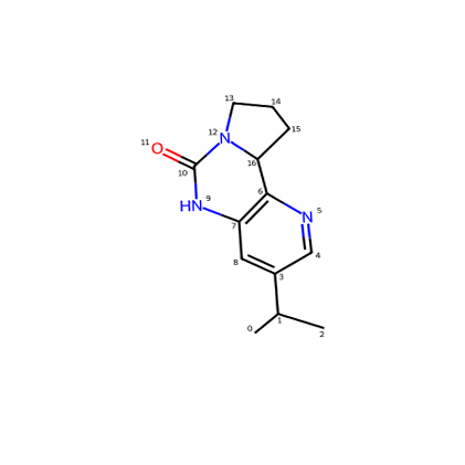 CC(C)c1cnc2c(c1)NC(=O)N1CCCC21